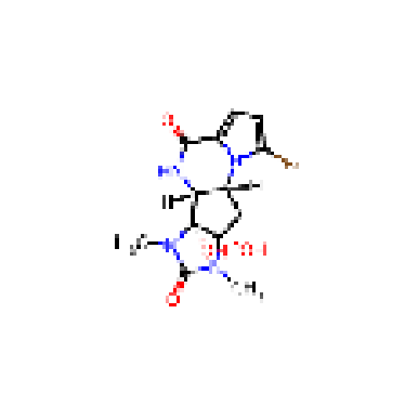 CN1C(=O)N(C)[C@@]2(O)[C@@H]3NC(=O)c4ccc(Br)n4[C@@H]3C[C@@]12O